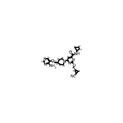 N#CC1C[C@@H]1COc1nc(C(=O)NC2CCC2)cc(N2CCC(COc3cncnc3N)CC2)n1